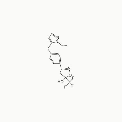 CCn1nccc1Cc1ccc(C2=NOC(O)(C(F)(F)F)C2)cc1